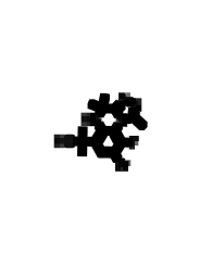 Cc1nnc2n1-c1c(F)c(Br)cc(C(C)(C)O)c1NC2(C)C